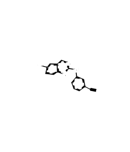 C#Cc1cccc(Nc2ncc3cc(O)ccc3n2)c1